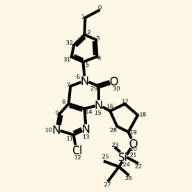 CCc1ccc(N2Cc3cnc(Cl)nc3N(C3CCC(O[Si](C)(C)C(C)(C)C)C3)C2=O)cc1